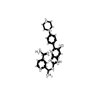 CC(Oc1nc2nc(-c3ccc(N4CCOCC4)cc3)c(Cl)cc2[nH]1)c1cc(C(N)=O)ccn1